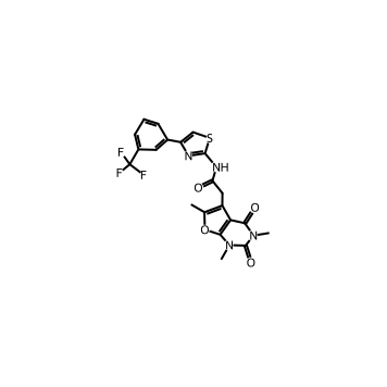 Cc1oc2c(c1CC(=O)Nc1nc(-c3cccc(C(F)(F)F)c3)cs1)c(=O)n(C)c(=O)n2C